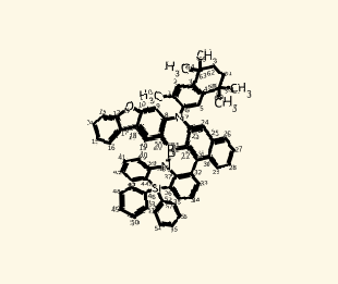 Cc1cc2c(cc1N1c3cc4oc5ccccc5c4cc3B3c4c1cc1ccccc1c4-c1cccc4c1N3c1ccccc1[Si]4(c1ccccc1)c1ccccc1)C(C)(C)CCC2(C)C